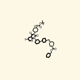 CC(C)(C)OC(=O)NC1CCC(n2c(=O)c3cc(F)cnc3n(-c3cccc(-c4ccc(CN5CCCN(C(=O)OCc6ccccc6)CC5)cc4)c3)c2=O)CC1